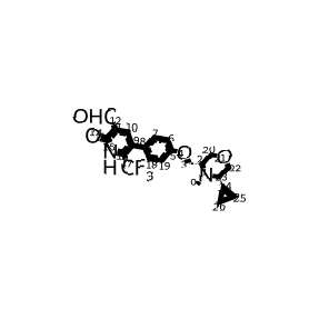 CN1[C@H](COc2ccc(-c3cc(C=O)c(=O)[nH]c3C(F)(F)F)cc2)COC[C@@H]1C1CC1